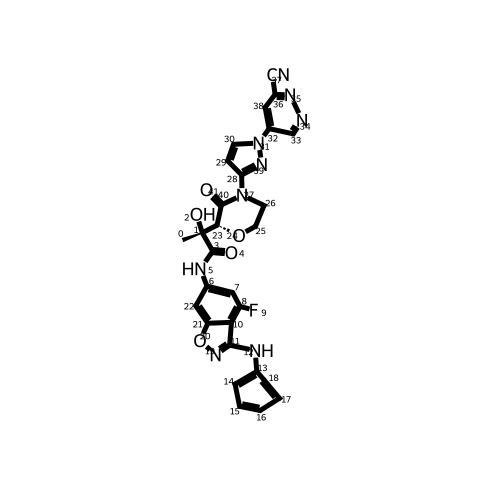 C[C@](O)(C(=O)Nc1cc(F)c2c(Nc3ccccc3)noc2c1)[C@H]1OCCN(c2ccn(-c3cnnc(C#N)c3)n2)C1=O